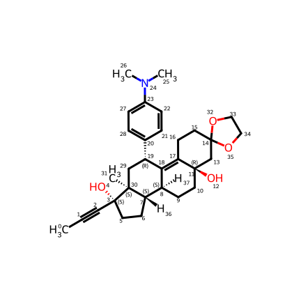 CC#C[C@]1(O)CC[C@H]2[C@@H]3CC[C@@]4(O)CC5(CCC4=C3[C@@H](c3ccc(N(C)C)cc3)C[C@@]21C)OCCO5